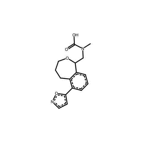 CN(CC1OCCCc2c(-c3ccno3)cccc21)C(=O)O